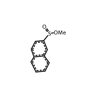 COS(=O)c1ccc2ccccc2c1